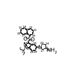 CC(C)n1nc(S(=O)(=O)c2cccc3ccccc23)c2cc(N3CCC(N)C3)ccc21